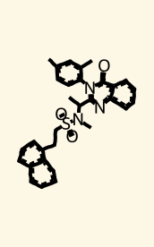 Cc1ccc(-n2c(C(C)N(C)S(=O)(=O)CCc3cccc4ccccc34)nc3ccccc3c2=O)c(C)c1